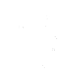 CSc1nn2ccnc2cc1O